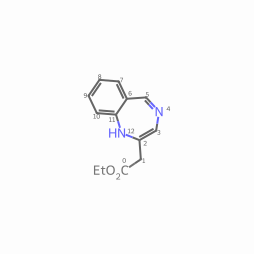 CCOC(=O)CC1=CN=Cc2ccccc2N1